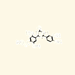 O=C(O)c1cc(O)c(-c2nc(-c3ccc(O)c(O)c3)[nH]c(=O)n2)cc1O